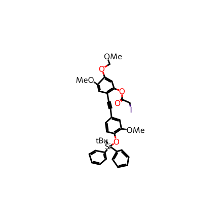 COCOc1cc(OC(=O)CI)c(C#Cc2ccc(O[Si](c3ccccc3)(c3ccccc3)C(C)(C)C)c(OC)c2)cc1OC